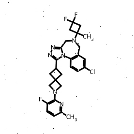 Cc1ccc(F)c(N2CC3(CC(c4nnc5n4-c4ccc(Cl)cc4CN(C4(C)CC(F)(F)C4)C5)C3)C2)n1